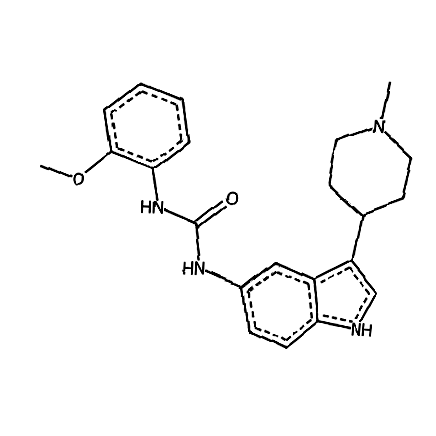 COc1ccccc1NC(=O)Nc1ccc2[nH]cc(C3CCN(C)CC3)c2c1